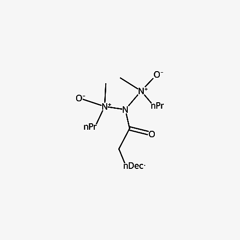 CCCCCCCCC[CH]CC(=O)N([N+](C)([O-])CCC)[N+](C)([O-])CCC